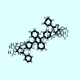 CC1(C)N=C(c2ccccc2)N(c2ccc(-c3c4ccccc4c(-c4ccc(N5C(c6ccccc6)=NC(C)(C)C5(C)C)nc4)c4ccccc34)cn2)C1(C)C